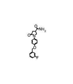 NC(=O)C1CC(=O)N(c2ccc(OCc3cccc(F)c3)cc2)C1